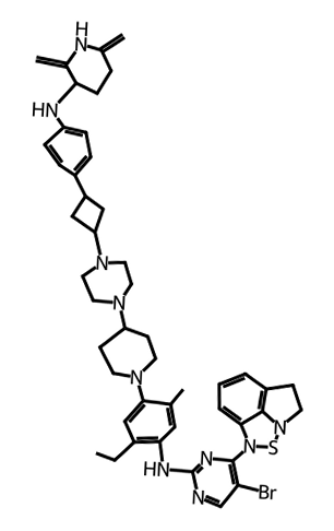 C=C1CCC(Nc2ccc(C3CC(N4CCN(C5CCN(c6cc(CC)c(Nc7ncc(Br)c(N8SN9CCc%10cccc8c%109)n7)cc6C)CC5)CC4)C3)cc2)C(=C)N1